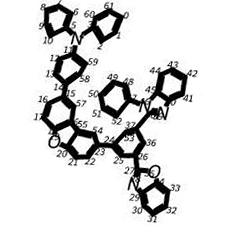 c1ccc(N(c2ccccc2)c2ccc(-c3ccc4oc5ccc(-c6cc(-c7nc8ccccc8o7)cc(-c7nc8ccccc8n7-c7ccccc7)c6)cc5c4c3)cc2)cc1